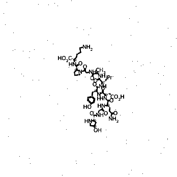 CC(C)C[C@H](NC(=O)[C@H](Cc1ccc(O)cc1)NC(=O)[C@H](CC(=O)O)NC(=O)[C@H](CCC(N)=O)NC(=O)CNC(=O)[C@@H]1C[C@@H](O)CN1)C(=O)N[C@@H](C)C(=O)NCC(=O)N1CCC[C@H]1C(=O)N[C@@H](CCCCN)C(=O)O